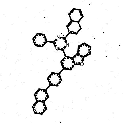 C1=CC2=CC(c3nc(-c4ccccc4)nc(-c4cc(-c5ccc(-c6ccc7ccccc7c6)cc5)cc5oc6ccccc6c45)n3)=CCC2C=C1